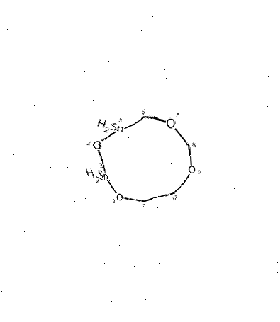 C1C[O][SnH2][O][SnH2][CH2]OCO1